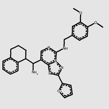 COc1ccc(CNc2ncc(C(N)C3CCCc4ccccc43)c3nc(-c4ccco4)nn23)cc1OC